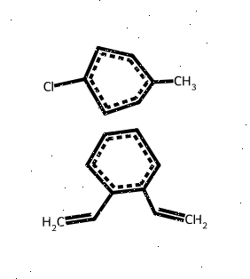 C=Cc1ccccc1C=C.Cc1ccc(Cl)cc1